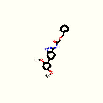 COc1ccc(OC)c(-c2ccc3c(NC(=O)COCc4ccccc4)n[nH]c3c2)c1